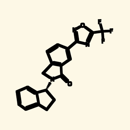 O=C1c2cc(-c3noc(C(F)(F)F)n3)ccc2CN1[C@@H]1CCc2ccccc21